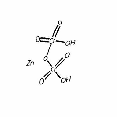 [O]=[Cr](=[O])([OH])[O][Cr](=[O])(=[O])[OH].[Zn]